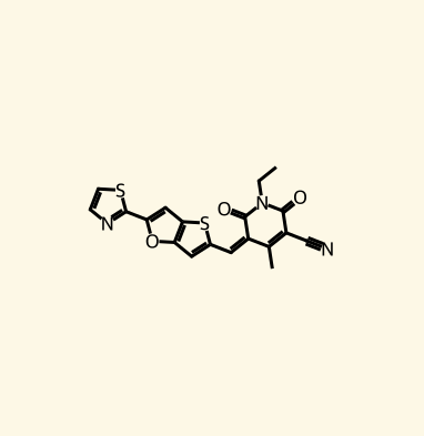 CCN1C(=O)C(C#N)=C(C)/C(=C/c2cc3oc(-c4nccs4)cc3s2)C1=O